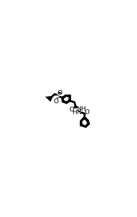 O=C(Cc1ccc(S(=O)(=O)CC2CC2)cc1)NNC(=O)c1ccccc1